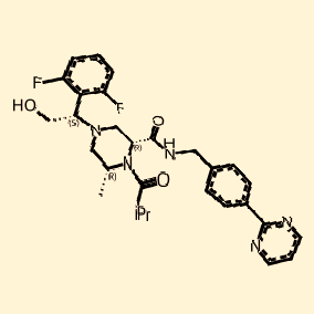 CC(C)C(=O)N1[C@H](C)CN([C@H](CO)c2c(F)cccc2F)C[C@@H]1C(=O)NCc1ccc(-c2ncccn2)cc1